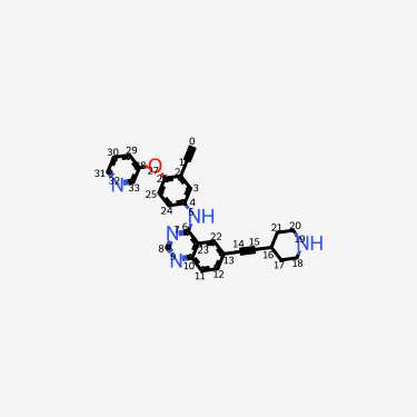 C#Cc1cc(Nc2ncnc3ccc(C#CC4CCNCC4)cc23)ccc1Oc1cccnc1